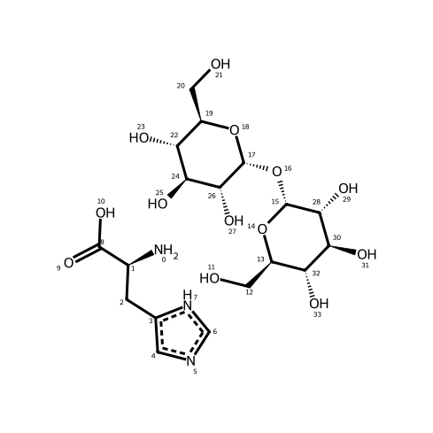 N[C@@H](Cc1cnc[nH]1)C(=O)O.OC[C@H]1O[C@H](O[C@H]2O[C@H](CO)[C@@H](O)[C@H](O)[C@H]2O)[C@H](O)[C@@H](O)[C@@H]1O